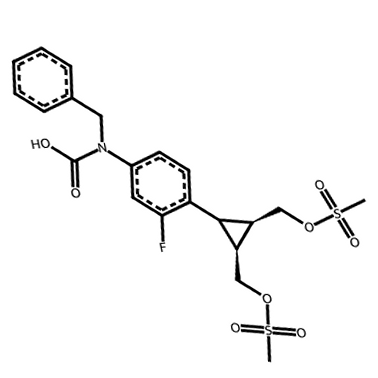 CS(=O)(=O)OC[C@@H]1C(c2ccc(N(Cc3ccccc3)C(=O)O)cc2F)[C@@H]1COS(C)(=O)=O